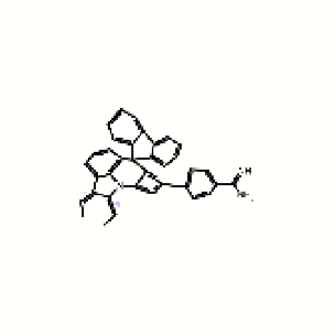 C/C=c1\c(=C/C)n2c3c(cccc13)C1(c3ccccc3-c3ccccc31)c1cc(-c3ccc(C(=N)N)cc3)ccc1-2